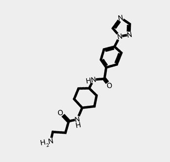 NCCC(=O)NC1CCC(NC(=O)c2ccc(-n3cncn3)cc2)CC1